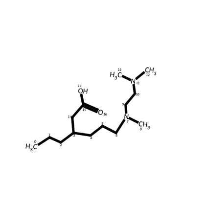 CCCC(CCCN(C)CCN(C)C)CC(=O)O